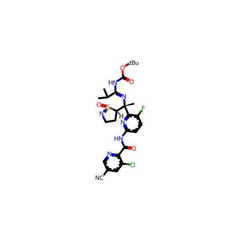 CC(C)(C)OC(=O)NC1=N[C@](C)(c2nc(NC(=O)c3ncc(C#N)cc3Cl)ccc2F)[C@H]2CCN=[S@@]2(=O)C1(C)C